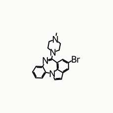 CN1CCN(C2=Nc3ccccc3-n3ccc4cc(Br)cc2c43)CC1